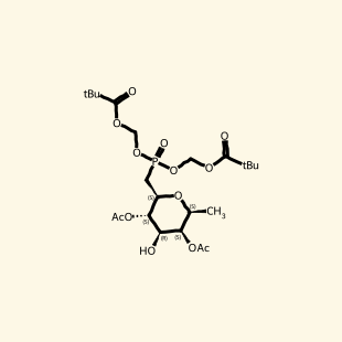 CC(=O)O[C@H]1[C@@H](O)[C@H](OC(C)=O)[C@@H](CP(=O)(OCOC(=O)C(C)(C)C)OCOC(=O)C(C)(C)C)O[C@H]1C